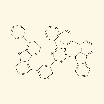 c1ccc(-c2nc(-c3cccc(-c4cccc5oc6c(-c7ccccc7)cccc6c45)c3)nc(-n3c4ccccc4c4cccc(-c5ccccc5)c43)n2)cc1